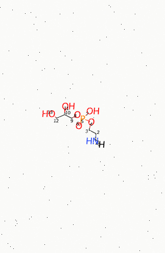 [2H]NCCOP(=O)(O)OC[C@H](O)CO